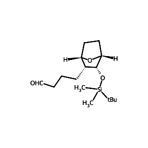 CC(C)(C)[Si](C)(C)O[C@@H]1[C@H](CCCC=O)[C@@H]2CC[C@H]1O2